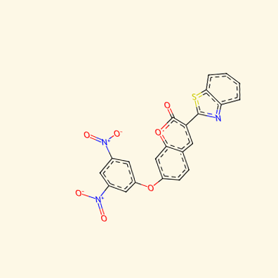 O=c1oc2cc(Oc3cc([N+](=O)[O-])cc([N+](=O)[O-])c3)ccc2cc1-c1nc2ccccc2s1